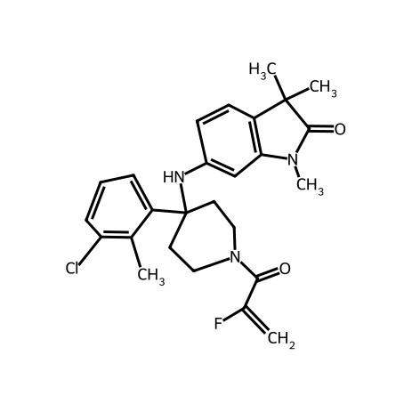 C=C(F)C(=O)N1CCC(Nc2ccc3c(c2)N(C)C(=O)C3(C)C)(c2cccc(Cl)c2C)CC1